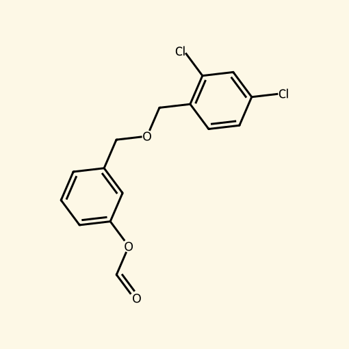 O=COc1cccc(COCc2ccc(Cl)cc2Cl)c1